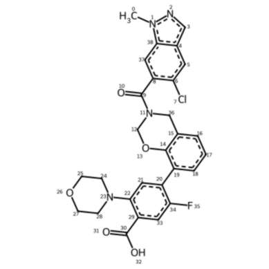 Cn1ncc2cc(Cl)c(C(=O)N3COc4c(cccc4-c4cc(N5CCOCC5)c(C(=O)O)cc4F)C3)cc21